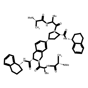 CN[C@@H](C)C(=O)NC(C(=O)N1C[C@@H](c2ccc3c(c2)CN(C(=O)[C@@H](NC(=O)[C@H](C)NC)C(C)(C)C)[C@H](C(=O)N[C@@H]2CCCc4ccccc42)C3)C[C@H]1C(=O)N[C@@H]1CCCc2ccccc21)C(C)(C)C